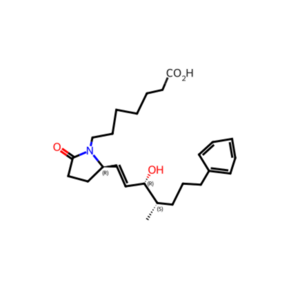 C[C@@H](CCCc1ccccc1)[C@@H](O)C=C[C@H]1CCC(=O)N1CCCCCCC(=O)O